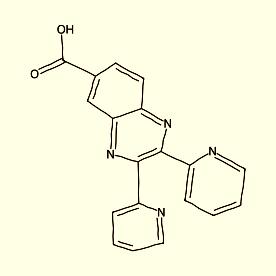 O=C(O)c1ccc2nc(-c3ccccn3)c(-c3ccccn3)nc2c1